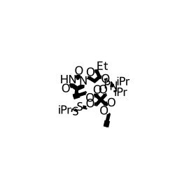 C#CCOC(=O)C(COCSSC(C)C)(COP(OC1C[C@H](n2cc(C)c(=O)[nH]c2=O)O[C@@H]1CC)N(C(C)C)C(C)C)C(=O)OCC#C